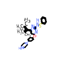 CC1(C)C(c2cc(Oc3ccc(N4CCNCC4)cc3)nc(NSc3ccccc3)n2)C1(C)C